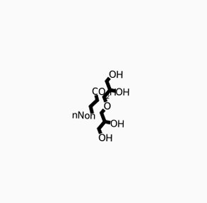 CCCCCCCCCCCC(=O)O.OCC(O)COCC(O)CO